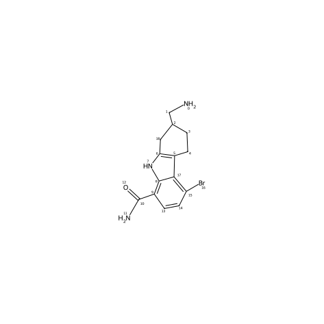 NCC1CCc2c([nH]c3c(C(N)=O)ccc(Br)c23)C1